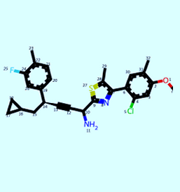 COc1cc(Cl)c(-c2nc(C(N)C#C[C@@H](CC3CC3)c3ccc(C)c(F)c3)sc2C)cc1C